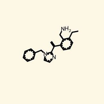 C=C(c1cccc(CC)c1CN)c1nccn1Cc1ccccc1